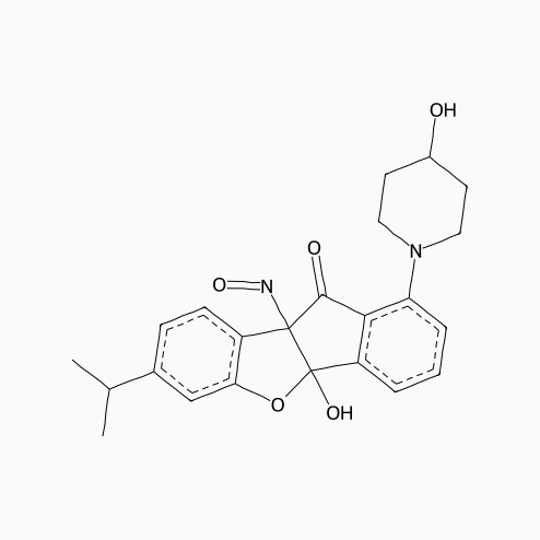 CC(C)c1ccc2c(c1)OC1(O)c3cccc(N4CCC(O)CC4)c3C(=O)C21N=O